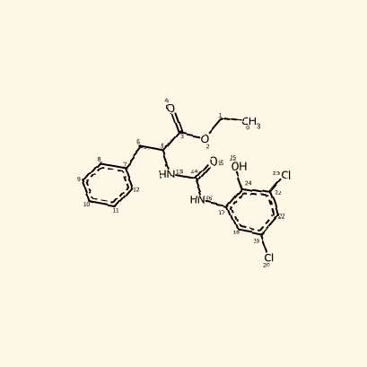 CCOC(=O)C(Cc1ccccc1)NC(=O)Nc1cc(Cl)cc(Cl)c1O